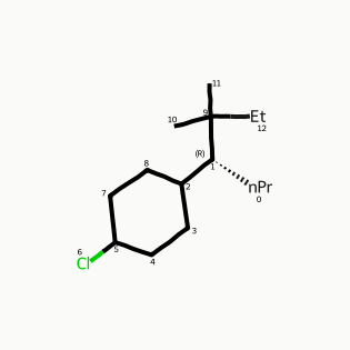 CCC[C@H](C1CCC(Cl)CC1)C(C)(C)CC